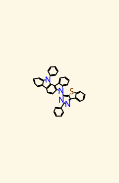 c1ccc(-c2nc(-n3c4ccccc4c4c3ccc3c5ccccc5n(-c5ccccc5)c34)c3sc4ccccc4c3n2)cc1